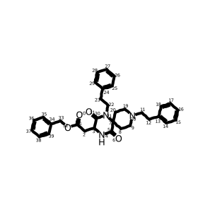 O=C(CC1NC(=O)C2(CCN(CCc3ccccc3)CC2)N(CCc2ccccc2)C1=O)OCc1ccccc1